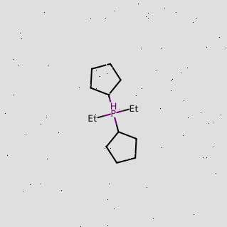 CC[PH](CC)(C1CCCC1)C1CCCC1